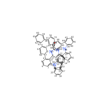 C1=CCC(c2cccc(-n3c4ccccc4c4ccccc43)c2-c2cc(-c3c(C4=CCCC=C4)cccc3-n3c4ccccc4c4ccccc43)nc(-c3cccc(-c4ccccc4)c3)n2)C=C1